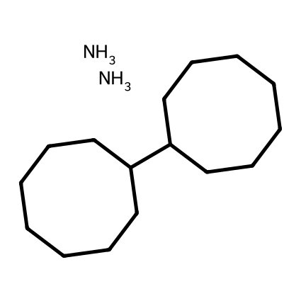 C1CCCC(C2CCCCCCC2)CCC1.N.N